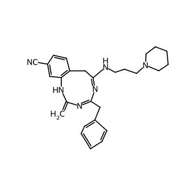 C=C1/N=C(Cc2ccccc2)\N=C(\NCCCN2CCCCC2)Cc2ccc(C#N)cc2N1